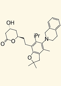 Cc1c2c(c(CC[C@@H]3C[C@@H](O)CC(=O)O3)c(C(C)C)c1N1CCc3ccccc3C1)OC(C)(C)C2